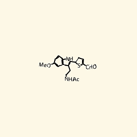 COc1ccc2[nH]c(C3CC=C(C=O)S3)c(CCNC(C)=O)c2c1